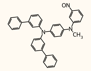 CN(c1ccc(N(c2cccc(-c3ccccc3)c2)c2cccc(-c3ccccc3)c2)cc1)c1cccc(N=O)c1